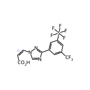 O=C(O)/C=C\n1cnc(-c2cc(C(F)(F)F)cc(S(F)(F)(F)(F)F)c2)n1